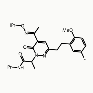 COc1ccc(F)cc1CCc1cc(/C(C)=N/OC(C)C)c(=O)n(C(C)C(=O)NC(C)C)n1